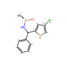 CC(C)(C)[S@@+]([O-])NC(c1ccccc1)c1cc(Br)cs1